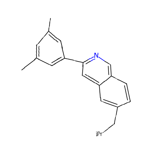 Cc1cc(C)cc(-c2cc3cc(CC(C)C)ccc3cn2)c1